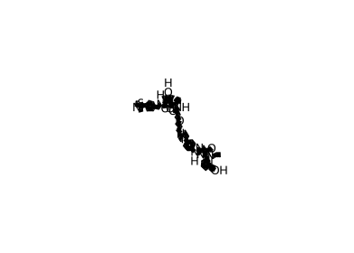 C=CCn1c(=O)c2cnc(Nc3ccc(N4CCN(CCCOCCC(=O)N[C@H](C(=O)N5CC(O)CC5C(=O)NCc5ccc(-c6scnc6C)cc5)C(C)(C)C)CC4)cc3)nc2n1-c1cccc(C(C)(C)O)n1